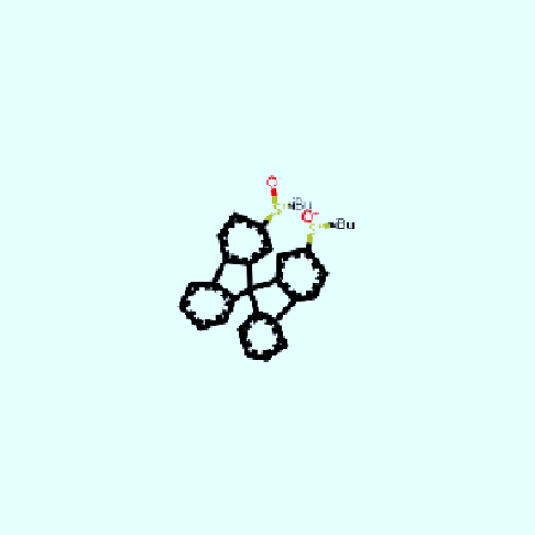 CCC(C)[S+]([O-])c1ccc2c(c1)C1(c3ccccc3-2)c2ccccc2-c2ccc([S+]([O-])C(C)CC)cc21